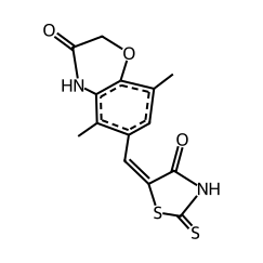 Cc1cc(C=C2SC(=S)NC2=O)c(C)c2c1OCC(=O)N2